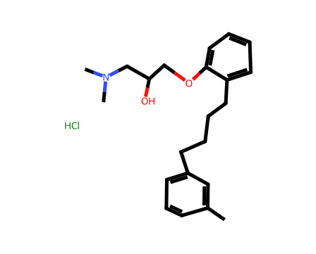 Cc1cccc(CCCCc2ccccc2OCC(O)CN(C)C)c1.Cl